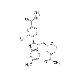 CNC(=O)c1ccc(-c2nc3cc(C)ccn3c2C[C@@H]2CN(C(C)=O)CCO2)c(C)c1